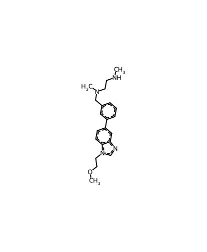 CNCCN(C)Cc1cccc(-c2ccc3c(c2)ncn3CCOC)c1